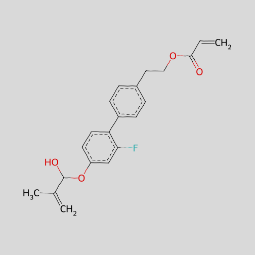 C=CC(=O)OCCc1ccc(-c2ccc(OC(O)C(=C)C)cc2F)cc1